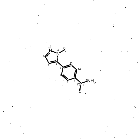 C[C@H](N)c1ccc(-c2ccnn2C)cc1